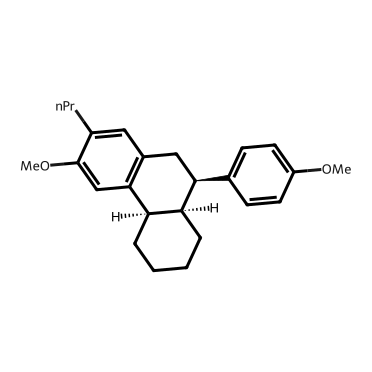 CCCc1cc2c(cc1OC)[C@@H]1CCCC[C@@H]1[C@H](c1ccc(OC)cc1)C2